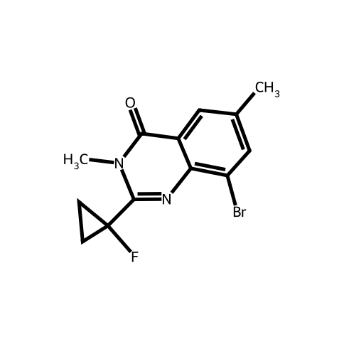 Cc1cc(Br)c2nc(C3(F)CC3)n(C)c(=O)c2c1